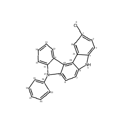 Clc1ccc2[nH]c3ccc4c(c5ccccc5n4-c4ccccc4)c3c2c1